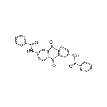 O=C(Nc1ccc2c(c1)C(=O)c1ccc(NC(=O)c3ccccc3)cc1C2=O)c1ccccc1